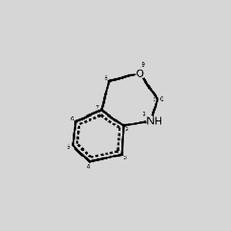 [C]1Nc2ccccc2CO1